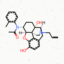 C=CCN1CC[C@]23c4c5ccc(O)c4O[C@H]2[C@H](N(C(C)=O)c2ccccc2C)CC[C@@]3(O)[C@H]1C5